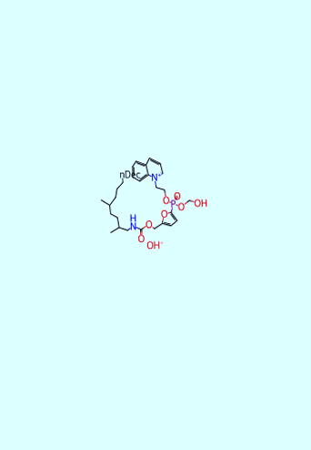 CCCCCCCCCCCCCC(C)CCC(C)CNC(=O)OCc1ccc(P(=O)(OCO)OCC[n+]2cccc3ccccc32)o1.[OH-]